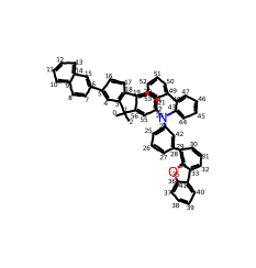 CC1(C)c2cc(-c3ccc4ccccc4c3)ccc2-c2ccc(N(c3cccc(-c4cccc5c4oc4ccccc45)c3)c3ccccc3-c3ccccc3)cc21